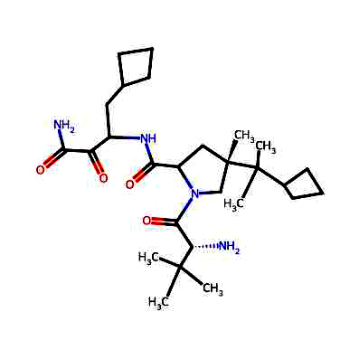 CC(C)(C)[C@@H](N)C(=O)N1C[C@@](C)(C(C)(C)C2CCC2)CC1C(=O)NC(CC1CCC1)C(=O)C(N)=O